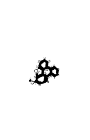 COc1ccc2c3ccccc3c3cccc4oc1c2c43